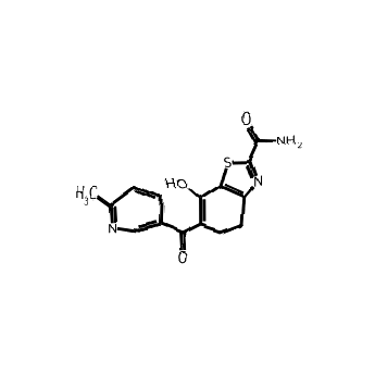 Cc1ccc(C(=O)C2=C(O)c3sc(C(N)=O)nc3CC2)cn1